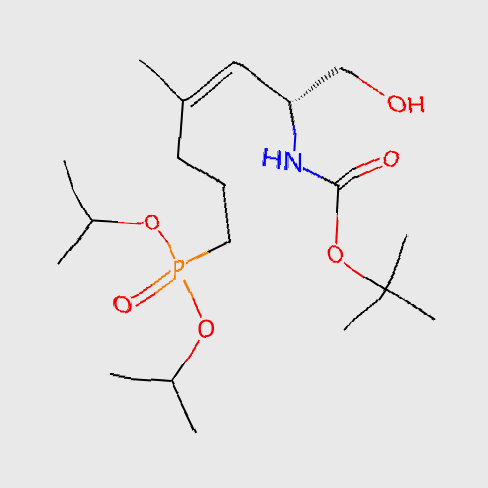 CC(=C[C@H](CO)NC(=O)OC(C)(C)C)CCCP(=O)(OC(C)C)OC(C)C